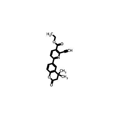 C#Cc1nc(-c2ccc3c(c2)C(C)(C)CC(=O)O3)ccc1C(=O)OCC